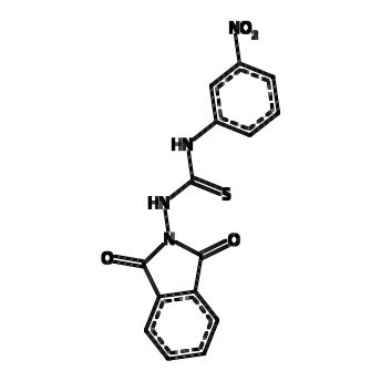 O=C1c2ccccc2C(=O)N1NC(=S)Nc1cccc([N+](=O)[O-])c1